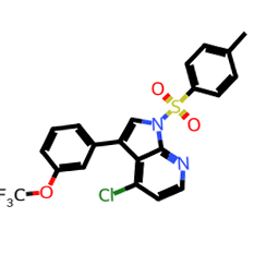 Cc1ccc(S(=O)(=O)n2cc(-c3cccc(OC(F)(F)F)c3)c3c(Cl)ccnc32)cc1